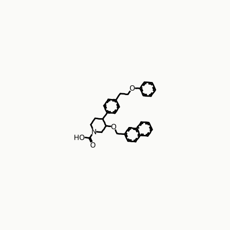 O=C(O)N1CCC(c2ccc(CCOc3ccccc3)cc2)C(OCc2ccc3ccccc3c2)C1